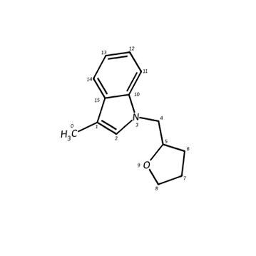 Cc1cn(CC2CCCO2)c2ccccc12